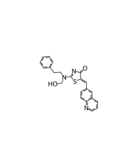 O=C1N=C(N(CO)CCc2ccccc2)S/C1=C\c1ccc2ncccc2c1